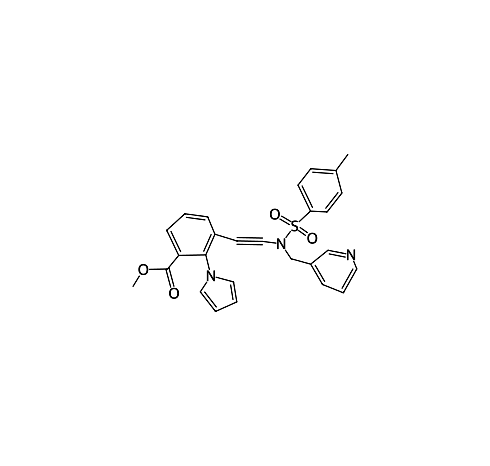 COC(=O)c1cccc(C#CN(Cc2cccnc2)S(=O)(=O)c2ccc(C)cc2)c1-n1cccc1